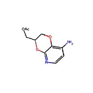 CC(=O)OCC1COc2c(N)ccnc2O1